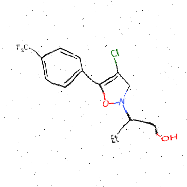 CCC(CO)N1CC(Cl)=C(c2ccc(C(F)(F)F)cc2)O1